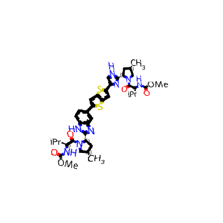 COC(=O)N[C@H](C(=O)N1C[C@@H](C)C[C@H]1c1nc(-c2cc3sc(-c4ccc5[nH]c([C@@H]6C[C@H](C)CN6C(=O)[C@@H](NC(=O)OC)C(C)C)nc5c4)cc3s2)c[nH]1)C(C)C